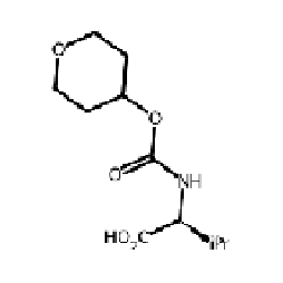 CC(C)[C@H](NC(=O)OC1CCOCC1)C(=O)O